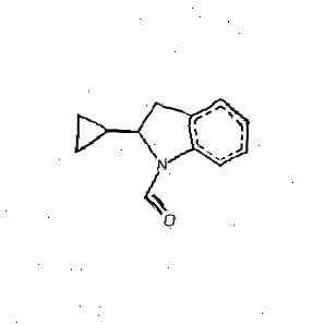 O=CN1c2ccccc2CC1C1CC1